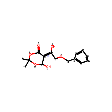 CC1(C)OC(=O)/C(=C(\O)COCc2ccccc2)C(O)O1